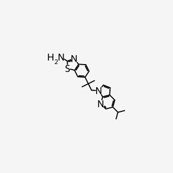 CC(C)c1cnc2c(ccn2CC(C)(C)c2ccc3nc(N)sc3c2)c1